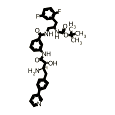 CC(C)(C)OC(=O)NC(CNC(=O)c1cccc(NC(=O)[C@@H](O)[C@H](N)Cc2ccc(-c3cccnc3)cc2)c1)Cc1cc(F)ccc1F